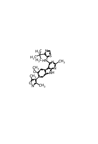 COc1cc2c(cc1-c1c(C)noc1C)[nH]c1nc(C)nc(Nc3scnc3C(C)(C)C)c12